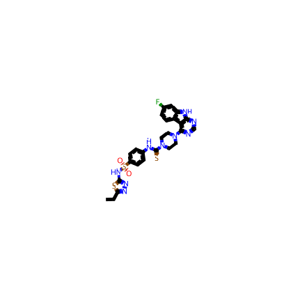 CCc1nnc(NS(=O)(=O)c2ccc(NC(=S)N3CCN(c4ncnc5[nH]c6cc(F)ccc6c45)CC3)cc2)s1